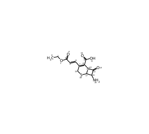 CCOC(=O)/C=C/C1=C(C(=O)O)N2C(=O)C(N)C2SC1